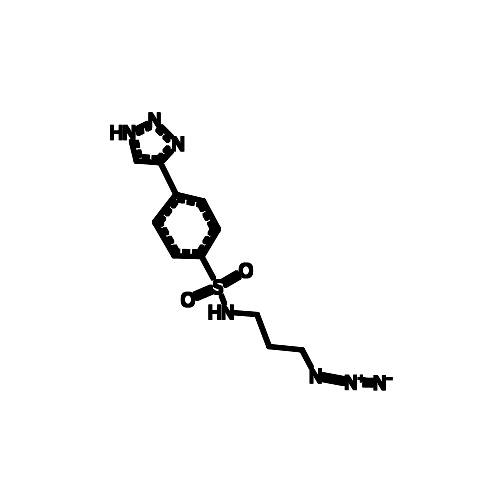 [N-]=[N+]=NCCCNS(=O)(=O)c1ccc(-c2c[nH]nn2)cc1